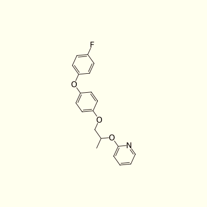 CC(COc1ccc(Oc2ccc(F)cc2)cc1)Oc1ccccn1